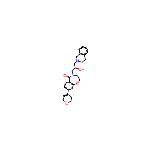 O=C1c2ccc(C3=CCOCC3)cc2OCCN1CC(O)CN1CCc2ccccc2C1